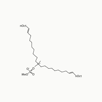 CCCCCCCCC=CCCCCCCCC[N+](C)(C)CCCCCCCCC=CCCCCCCCC.COS(=O)(=O)[O-]